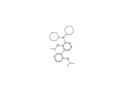 CC(C)Oc1ccccc1-c1cccc(P(C2CCCCC2)C2CCCCC2)c1OC(C)C